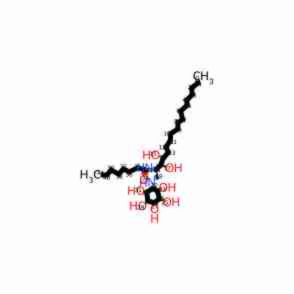 CCCCCCCCCCCCCC[C@@H](O)[C@@H](O)[C@H](CN[C@H]1[C@H](O)[C@@H](O)[C@H](O)[C@@H](O)[C@@H]1O)NC(=O)CCCCCCC